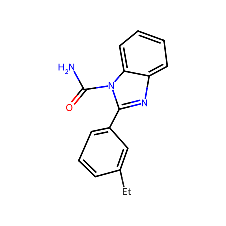 CCc1cccc(-c2nc3ccccc3n2C(N)=O)c1